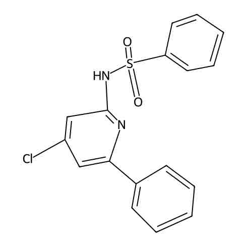 O=S(=O)(Nc1cc(Cl)cc(-c2ccccc2)n1)c1ccccc1